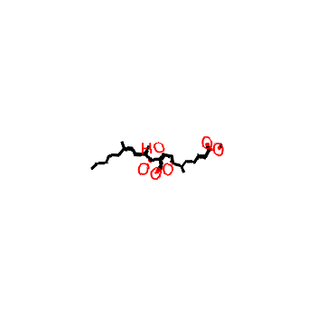 CCCCCC(C)=C/C=C(\C)C(=O)c1c(O)cc(C(C)CC/C=C/C(=O)OC)oc1=O